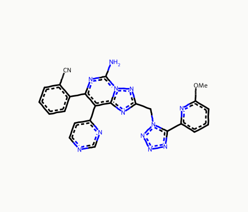 COc1cccc(-c2nnnn2Cc2nc3c(-c4ccncn4)c(-c4ccccc4C#N)nc(N)n3n2)n1